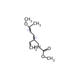 C=C/C(=C\C=C(/C)OC)CNC(=O)OC